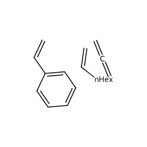 C=C=C.C=CCCCCCC.C=Cc1ccccc1